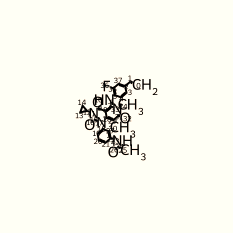 C=Cc1ccc(Nc2c3c(=O)n(C4CC4)c(=O)n(-c4cccc(NC(C)=O)c4)c3c(C)c(=O)n2C)c(F)c1